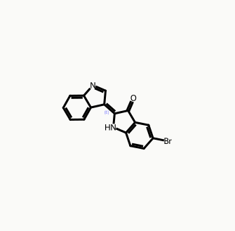 O=C1/C(=C2\C=Nc3ccccc32)Nc2ccc(Br)cc21